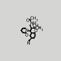 CC(=O)NCC1=C(n2ccccc2=O)c2cc(C#N)ccc2OC1(C)C